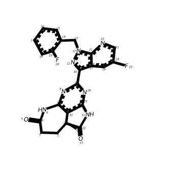 C[C@@]12CCC(=O)Nc3nc(-c4nn(Cc5ccccc5F)c5ncc(F)cc45)nc(c31)NC2=O